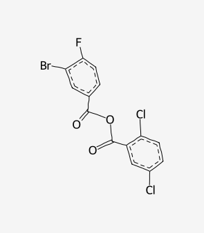 O=C(OC(=O)c1cc(Cl)ccc1Cl)c1ccc(F)c(Br)c1